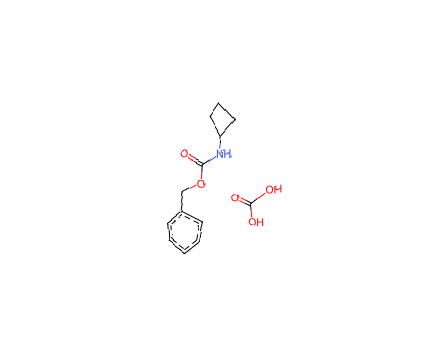 O=C(NC1CCC1)OCc1ccccc1.O=C(O)O